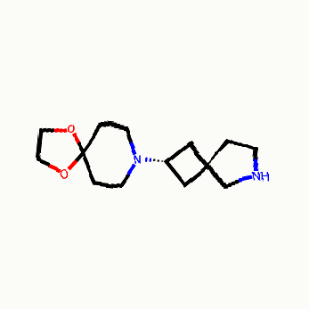 C1C[C@]2(CN1)C[C@@H](N1CCC3(CC1)OCCO3)C2